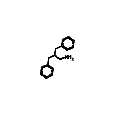 NCC(Cc1ccccc1)Cc1ccccc1